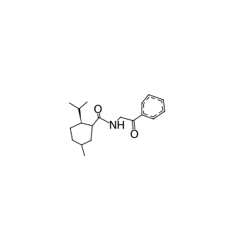 CC1CC[C@@H](C(C)C)C(C(=O)NCC(=O)c2ccccc2)C1